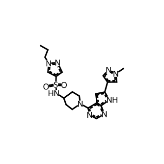 CCCn1cc(S(=O)(=O)NC2CCN(c3ncnc4[nH]c(-c5cnn(C)c5)cc34)CC2)cn1